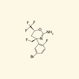 NC1=N[C@](CF)(c2cc(Br)ccc2F)C[C@@H](C(F)(F)F)O1